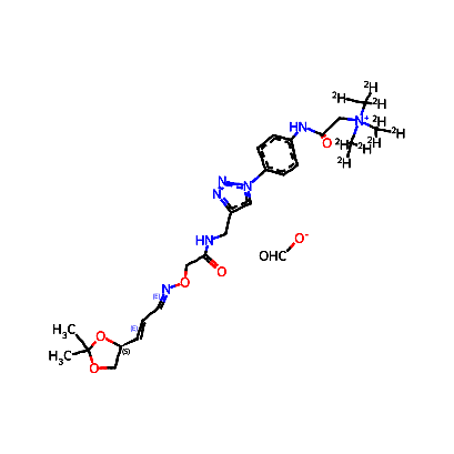 O=C[O-].[2H]C([2H])([2H])[N+](CC(=O)Nc1ccc(-n2cc(CNC(=O)CO/N=C/C=C/[C@H]3COC(C)(C)O3)nn2)cc1)(C([2H])([2H])[2H])C([2H])([2H])[2H]